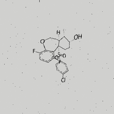 C[C@@H]1[C@H](O)CC[C@@]2(S(=O)(=O)c3ccc(Cl)cc3)c3c(F)ccc(F)c3OC[C@@H]12